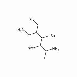 CCCCC(C(CN)CC(C)C)C(CCC)C(C)N